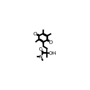 CC1=C(C)C(=O)C(CCC(C)(O)C(=O)N(C)C)=C(C)C1=O